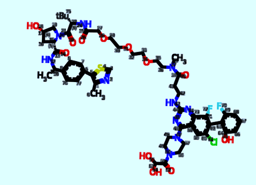 Cc1ncsc1-c1ccc([C@H](C)NC(=O)[C@@H]2C[C@@H](O)CN2C(=O)[C@@H](NC(=O)COCCOCCOCCN(C)C(=O)CCNc2nc(N3CCN(C(=O)C(O)O)CC3)c3cc(Cl)c(-c4c(O)cccc4F)c(F)c3n2)C(C)(C)C)cc1